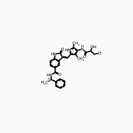 Cc1[nH]c(C=C2C(=O)Nc3ccc(C(=O)N[C@H](C)c4ccccc4)cc32)c(C)c1NC(=O)C(O)CCl